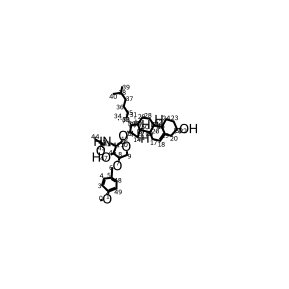 COc1ccc(COC2COC(O[C@H]3C[C@H]4[C@@H]5CC=C6C[C@@H](O)CC[C@]6(C)[C@H]5CC[C@]4(C)[C@H]3[C@H](C)CCCC(C)C)C(NC(C)=O)C2O)cc1